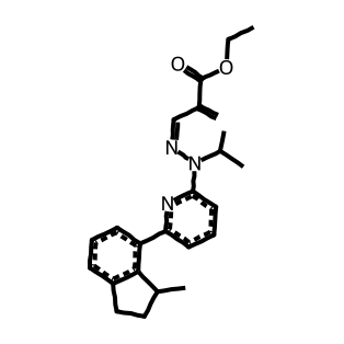 C=C(/C=N\N(c1cccc(-c2cccc3c2C(C)CC3)n1)C(C)C)C(=O)OCC